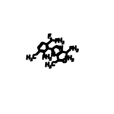 CC(=O)c1nc(-c2c(C(F)P)ccc(C)c2P)cnc1C(P)P